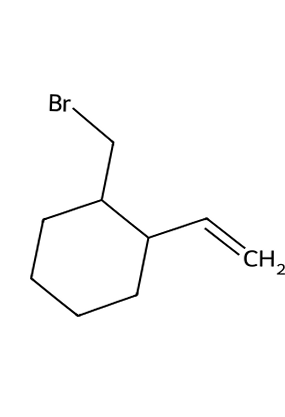 C=CC1CCCCC1CBr